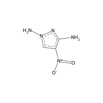 Nc1nn(N)cc1[N+](=O)[O-]